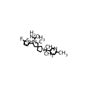 Cc1ccc(C(C)(C)N2CCC(CCc3ccc(F)s3)([C@@H](C)NC(N)=O)C2)cn1